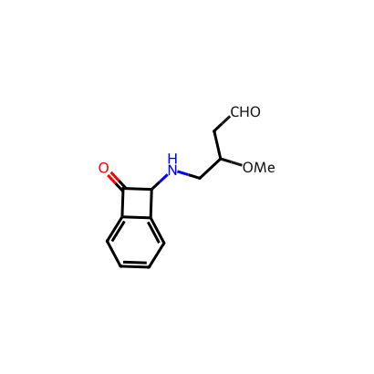 COC(CC=O)CNC1C(=O)c2ccccc21